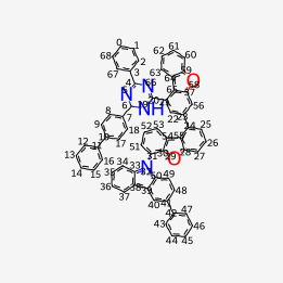 c1ccc(C2=NC(c3ccc(-c4ccccc4)cc3)NC(c3cc(-c4cccc5oc6c(-n7c8ccccc8c8cc(-c9ccccc9)ccc87)cccc6c45)cc4oc5ccccc5c34)=N2)cc1